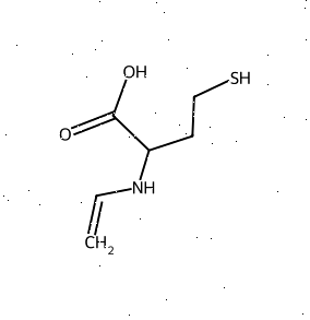 C=CNC(CCS)C(=O)O